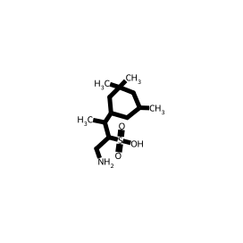 CC1CC(C(C)C(CN)S(=O)(=O)O)CC(C)(C)C1